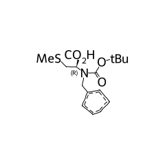 CSC[C@@H](C(=O)O)N(Cc1ccccc1)C(=O)OC(C)(C)C